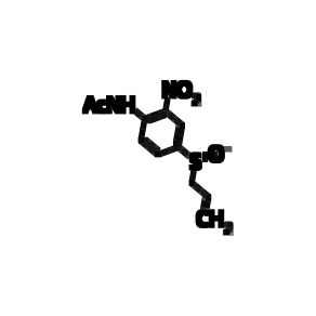 C=CC[S+]([O-])c1ccc(NC(C)=O)c([N+](=O)[O-])c1